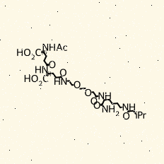 CC(=O)N[C@H](CCC(=O)N[C@@H](CCC(=O)NCCOCCOCC(=O)NC(CCCCNC(=O)CC(C)C)C(N)=O)C(=O)O)C(=O)O